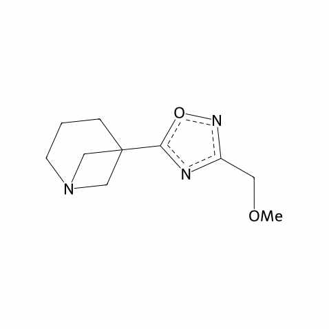 COCc1noc(C23CCCN(C2)C3)n1